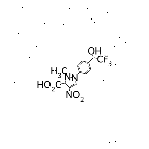 CN1C(C(=O)O)C([N+](=O)[O-])=CN1c1ccc(C(O)C(F)(F)F)cc1